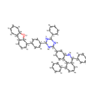 c1ccc(-c2nc(-c3ccc(-c4cccc5c4oc4ccccc45)cc3)nc(-c3ccc4c(c3)nc(-c3ccccc3)c3cccc(-c5ccccc5)c34)n2)cc1